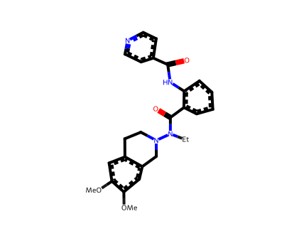 CCN(C(=O)c1ccccc1NC(=O)c1ccncc1)N1CCc2cc(OC)c(OC)cc2C1